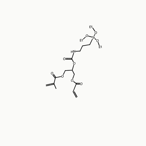 C=CC(=O)OCC(COC(=O)C(=C)C)OC(=O)NCCC[Si](OCC)(OCC)OCC